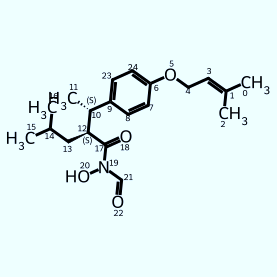 CC(C)=CCOc1ccc([C@@H](C)[C@H](CC(C)C)C(=O)N(O)C=O)cc1